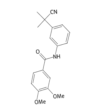 COc1ccc(C(=O)Nc2cccc(C(C)(C)C#N)c2)cc1OC